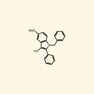 COc1ccc2c(c1)c(O)c(-c1ccccc1)n2Cc1ccccc1